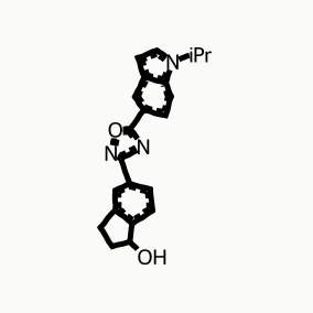 CC(C)n1ccc2cc(-c3nc(-c4ccc5c(c4)CCC5O)no3)ccc21